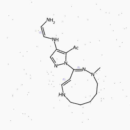 CC(=O)c1c(N/C=C\N)cnn1C1=N/N(C)CCCCCN\C=C\1